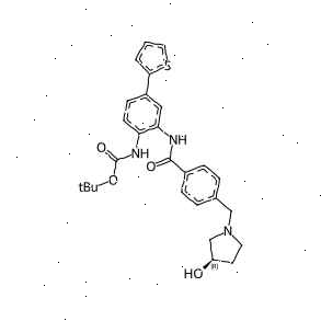 CC(C)(C)OC(=O)Nc1ccc(-c2cccs2)cc1NC(=O)c1ccc(CN2CC[C@@H](O)C2)cc1